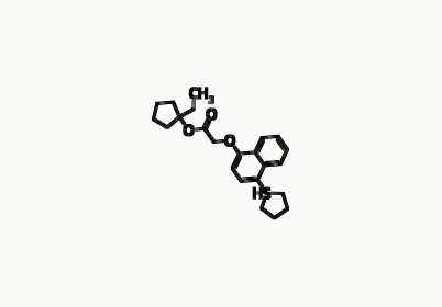 CCC1(OC(=O)COc2ccc([SH]3CCCC3)c3ccccc23)CCCC1